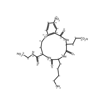 NCCCCC1NC(=O)C(CCC(=O)O)NC(=O)c2cc([N+](=O)[O-])ccc2OCCC(C(=O)NCC(=O)O)NC1=O